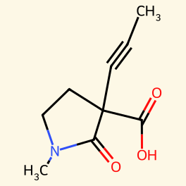 CC#CC1(C(=O)O)CCN(C)C1=O